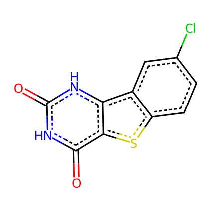 O=c1[nH]c(=O)c2sc3ccc(Cl)cc3c2[nH]1